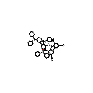 N#Cc1cc(C#N)c2c(c1)c1cc(C#N)cc(C#N)c1n2B1c2ccccc2-n2c3ccc(N(c4ccccc4)c4ccccc4)cc3c3cc(N(c4ccccc4)c4ccccc4)cc1c32